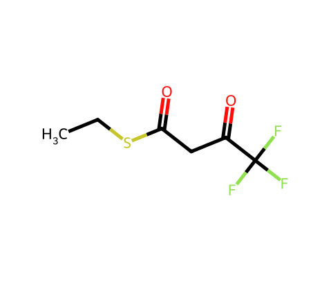 CCSC(=O)CC(=O)C(F)(F)F